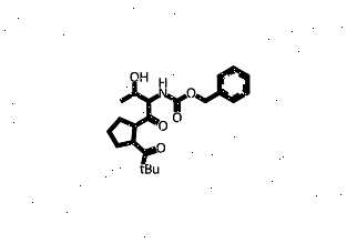 CC(O)C(NC(=O)OCc1ccccc1)C(=O)C1CCCC1C(=O)C(C)(C)C